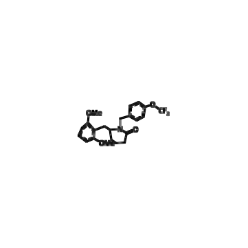 COc1cccc(OC)c1CC1CCCC(=O)N1Cc1ccc(OC(F)(F)F)cc1